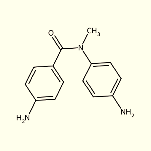 CN(C(=O)c1ccc(N)cc1)c1ccc(N)cc1